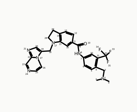 CN(C)Cc1ccc(NC(=O)c2ccc3c(c2)N(Cc2cnc4cnccn24)CC3)cc1C(F)(F)F